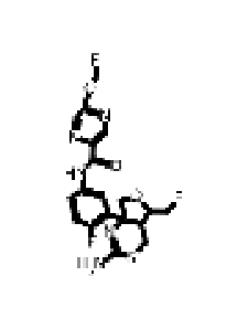 NC1=NC2(c3cc(NC(=O)c4cnc(OCF)cn4)ccc3F)COC(CF)C2CS1